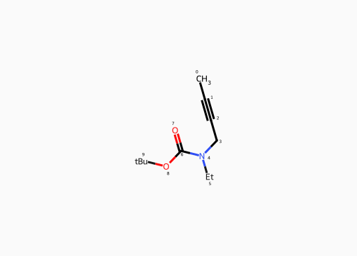 CC#CCN(CC)C(=O)OC(C)(C)C